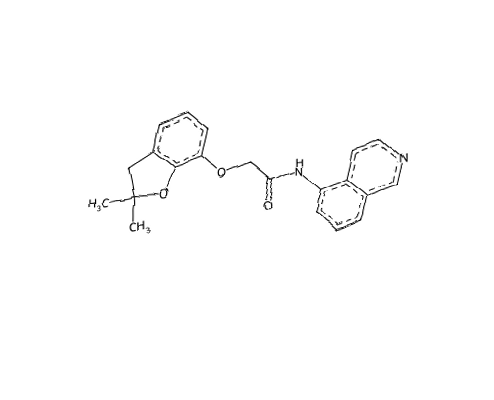 CC1(C)Cc2cccc(OCC(=O)Nc3cccc4cnccc34)c2O1